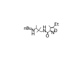 CCCCNC(C)C(C)(C)CNC(=O)c1noc(CC)c1C